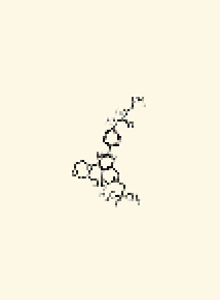 CCNC(=O)Nc1ccc(-c2nc3c(c(N4CCOCC4C)n2)CCN(CC(C)(C)F)C3)cc1